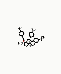 CN(C)c1ccc(C#C[C@]2(O)CC[C@H]3[C@@H]4CCC5=C/C(=N/O)CCC5=C4[C@@H](c4ccc(N(C)C)cc4)C[C@@]32C)cc1